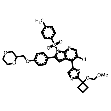 COCOC1(c2ncc(-c3c(Cl)cnc4c3cc(-c3ccc(OCC5COCCO5)cc3)n4S(=O)(=O)c3ccc(C)cc3)s2)CCC1